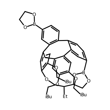 CCC(C)COc1cc2c(cc1OCC(C)CC)-c1cc(OCC(C)CC)c3cc1-c1cc(B4OCCO4)ccc1-c1ccc(cc1-2)B1OCC(O1)C(CC)CO3